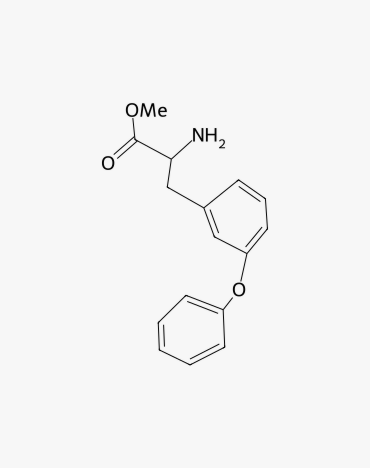 COC(=O)C(N)Cc1cccc(Oc2ccccc2)c1